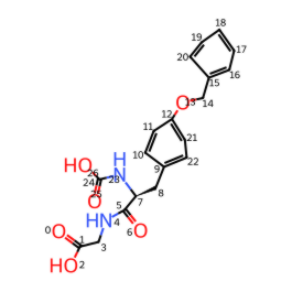 O=C(O)CNC(=O)[C@H](Cc1ccc(OCc2ccccc2)cc1)NC(=O)O